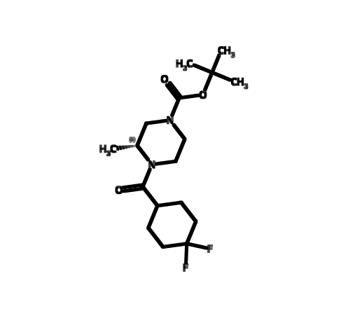 C[C@@H]1CN(C(=O)OC(C)(C)C)CCN1C(=O)C1CCC(F)(F)CC1